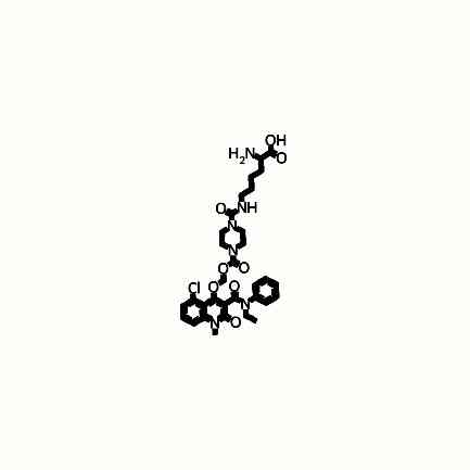 CCN(C(=O)c1c(OCOC(=O)N2CCN(C(=O)NCCCCC(N)C(=O)O)CC2)c2c(Cl)cccc2n(C)c1=O)c1ccccc1